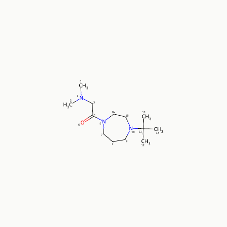 CN(C)CC(=O)N1CCCN(C(C)(C)C)CC1